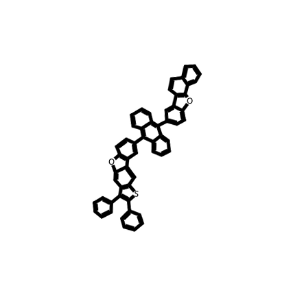 c1ccc(-c2sc3cc4c(cc3c2-c2ccccc2)oc2ccc(-c3c5ccccc5c(-c5ccc6oc7c8ccccc8ccc7c6c5)c5ccccc35)cc24)cc1